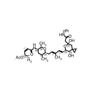 CCCNC(=O)C[C@]1(O)CC2(CC2)[C@H](O)[C@@H](/C=C/C(C)=C/C[C@@H]2O[C@H](C)[C@H](NC(=O)/C=C\[C@H](C)OC(C)=O)C[C@@H]2C)O1